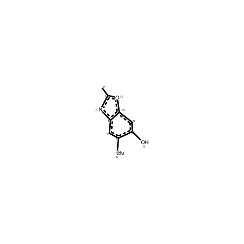 Cc1nc2cc(C(C)(C)C)c(O)cc2o1